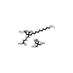 CCCCCCCCCCCCC(CCC)(CSCCC(=O)O)C(=O)O.OCC(CO)(CO)CO